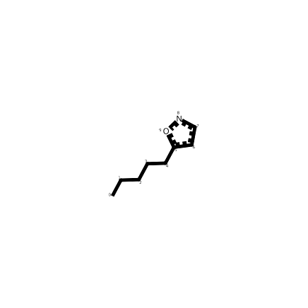 CCCCCc1c[c]no1